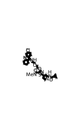 CNC(=O)c1sc(-c2ccnc(NC(=O)C3CC3)c2)nc1OCCOCCNc1c2c(nc3cc(Cl)ccc13)CCCC2